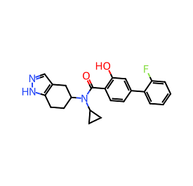 O=C(c1ccc(-c2ccccc2F)cc1O)N(C1CC1)C1CCc2[nH]ncc2C1